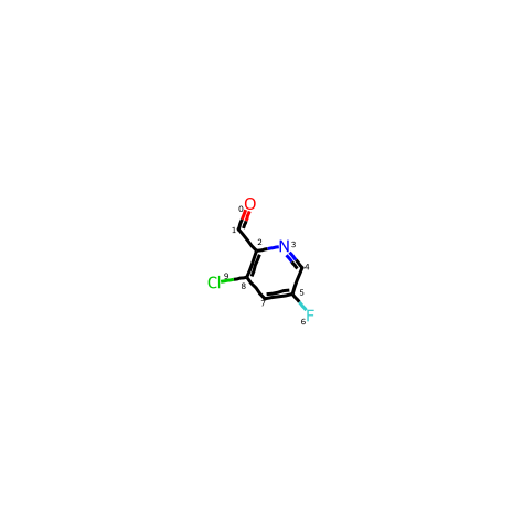 O=Cc1ncc(F)cc1Cl